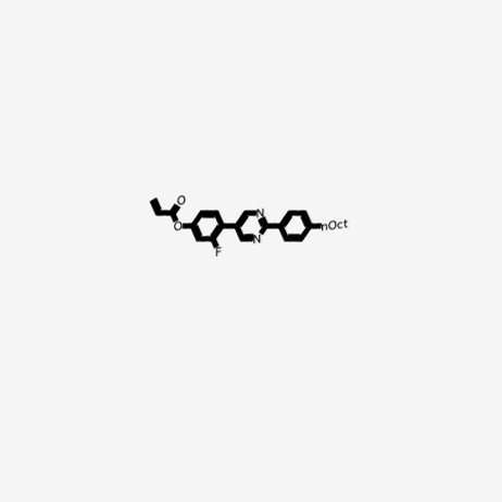 C=CC(=O)Oc1ccc(-c2cnc(-c3ccc(CCCCCCCC)cc3)nc2)c(F)c1